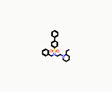 CCC1CCCCN1CCN(Cc1ccccc1)S(=O)(=O)c1ccc(-c2ccccc2)cc1